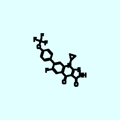 O=c1[nH]sc2c1c(=O)c1cc(F)c(-c3ccc(OC(F)(F)F)cc3)cc1n2C1CC1